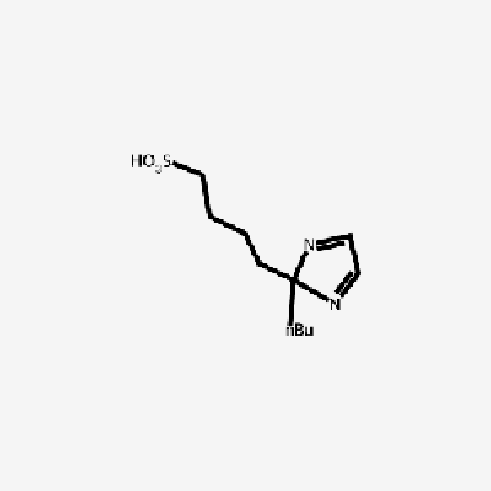 CCCCC1(CCCCS(=O)(=O)O)N=CC=N1